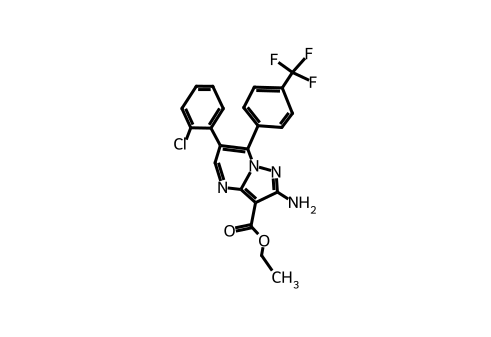 CCOC(=O)c1c(N)nn2c(-c3ccc(C(F)(F)F)cc3)c(-c3ccccc3Cl)cnc12